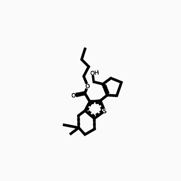 CCCCOC(=O)c1c(C2=C(CO)CCC2)sc2c1CC(C)(C)CC2